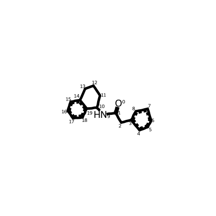 O=C(Cc1ccccc1)NC1CCCc2ccccc21